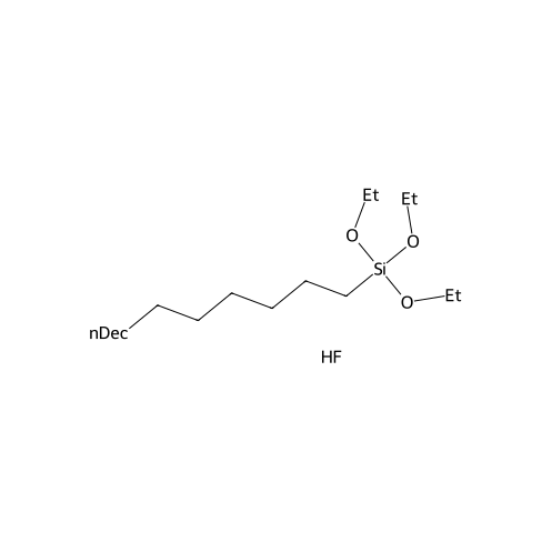 CCCCCCCCCCCCCCCC[Si](OCC)(OCC)OCC.F